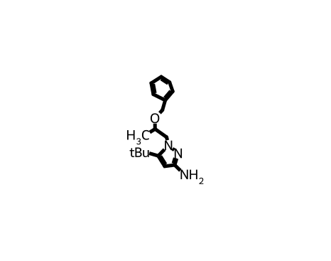 CC(Cn1nc(N)cc1C(C)(C)C)OCc1ccccc1